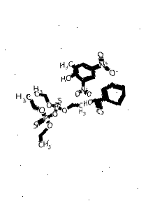 CCOP(=S)(OCC)OP(=S)(OCC)OCC.Cc1cc([N+](=O)[O-])cc([N+](=O)[O-])c1O.O=C(O)c1ccccc1